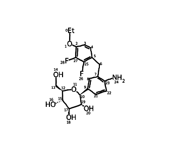 CCOc1ccc(Cc2cc([C@@H]3O[C@H](CO)[C@@H](O)[C@H](O)[C@H]3O)ccc2N)c(F)c1F